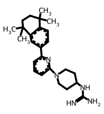 CC1(C)CCC(C)(C)c2cc(-c3cccc(N4CCC(NC(=N)N)CC4)n3)ccc21